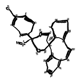 O=C(O)C1(c2ccc(Cl)cc2)OCC2(CO1)c1ccccc1C=Cc1ccccc12